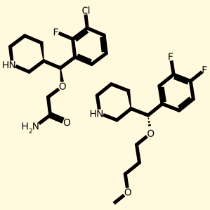 COCCCO[C@@H](c1ccc(F)c(F)c1)[C@@H]1CCCNC1.NC(=O)CO[C@H](c1cccc(Cl)c1F)[C@@H]1CCCNC1